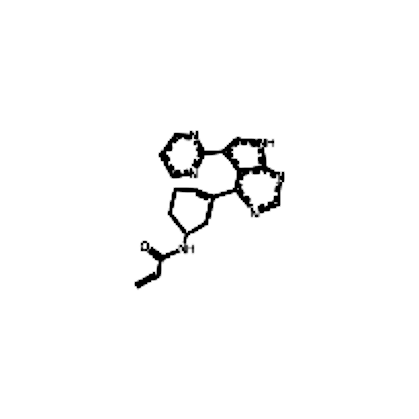 C=CC(=O)NC1CCC=C(c2ncnc3[nH]cc(-c4ncccn4)c23)C1